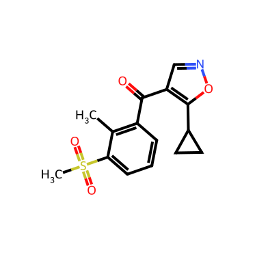 Cc1c(C(=O)c2cnoc2C2CC2)cccc1S(C)(=O)=O